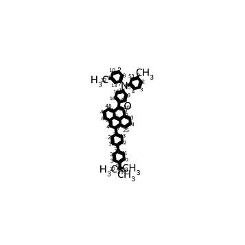 Cc1cccc(N(c2cccc(C)c2)c2ccc3c(c2)oc2c4cccc5c(-c6ccc(-c7ccc(C(C)(C)C)cc7)cc6)cc6cccc(c32)c6c54)c1